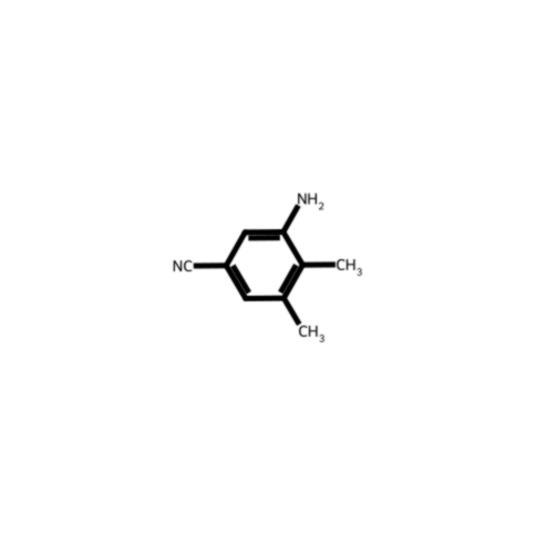 Cc1cc(C#N)cc(N)c1C